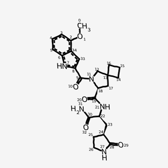 COc1cccc2[nH]c(C(=O)N3CC4(CCC4)C[C@H]3C(=O)N[C@@H](C[C@@H]3CCNC3=O)C(N)=O)cc12